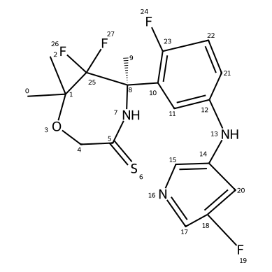 CC1(C)OCC(=S)N[C@](C)(c2cc(Nc3cncc(F)c3)ccc2F)C1(F)F